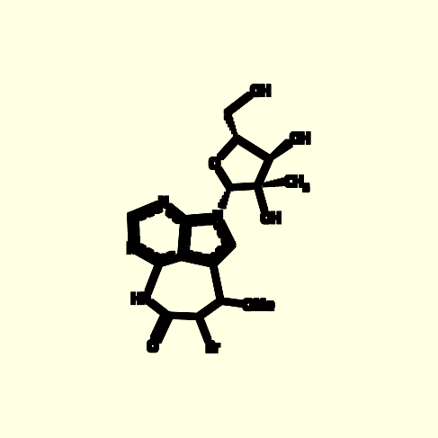 COC1c2cn([C@@H]3O[C@H](CO)[C@@H](O)[C@@]3(C)O)c3ncnc(c23)NC(=O)C1Br